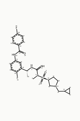 C[C@@H](NC(=N)N(C)S(=O)(=O)[C@H]1CCN(CC2CC2)C1)c1cc(NC(=O)c2ccc(F)cn2)ccc1F